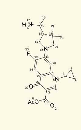 CC(=O)OC(=O)c1cn(C2CC2)c2cc(N3CC(C(C)N)C(C)(C)C3)c(F)cc2c1=O